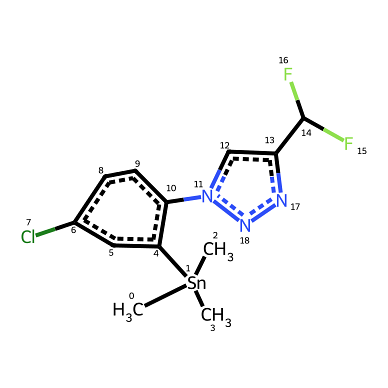 [CH3][Sn]([CH3])([CH3])[c]1cc(Cl)ccc1-n1cc(C(F)F)nn1